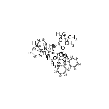 CC(C)(C)OC(=O)N[C@H](CCO[Si](c1ccccc1)(c1ccccc1)C(C)(C)C)C(=O)N1CCC[C@H]2CCCC[C@@H]21